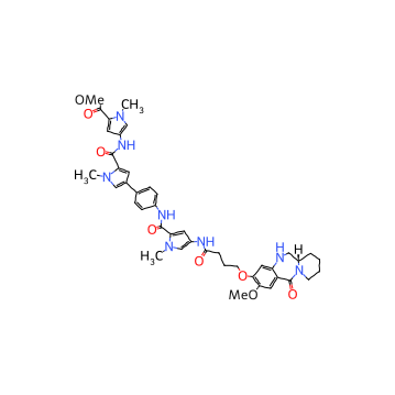 COC(=O)c1cc(NC(=O)c2cc(-c3ccc(NC(=O)c4cc(NC(=O)CCCOc5cc6c(cc5OC)C(=O)N5CCCC[C@H]5CN6)cn4C)cc3)cn2C)cn1C